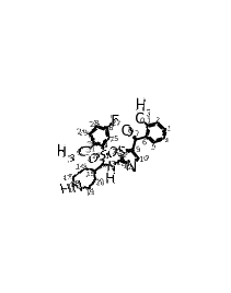 Cc1ccccc1C(=O)c1cnc(NC(C2CCNCC2)S(=O)(=O)c2cc(F)ccc2C)s1